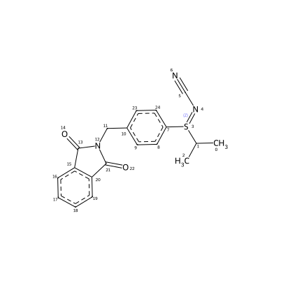 CC(C)/S(=N/C#N)c1ccc(CN2C(=O)c3ccccc3C2=O)cc1